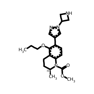 CCCOc1c(-c2cnn(C3CNC3)c2)ccc2c1CC[C@H](C)N2C(=O)OC